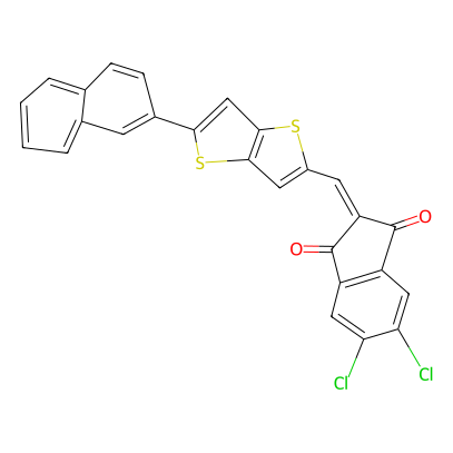 O=C1C(=Cc2cc3sc(-c4ccc5ccccc5c4)cc3s2)C(=O)c2cc(Cl)c(Cl)cc21